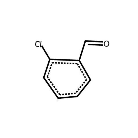 O=Cc1cc[c]cc1Cl